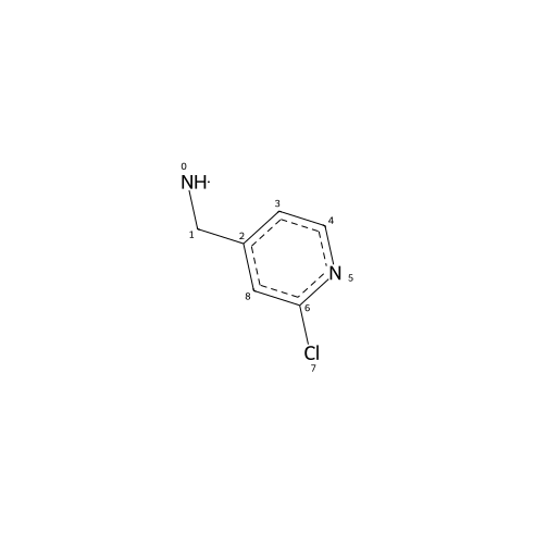 [NH]Cc1ccnc(Cl)c1